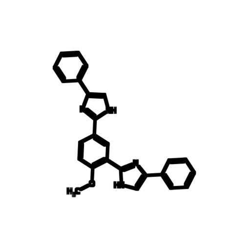 COc1ccc(-c2nc(-c3ccccc3)c[nH]2)cc1-c1nc(-c2ccccc2)c[nH]1